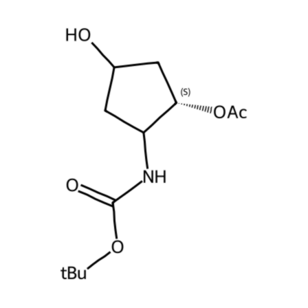 CC(=O)O[C@H]1CC(O)CC1NC(=O)OC(C)(C)C